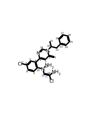 C=C1C=C(c2cc(Cl)ccc2N(N)/C=C(\N)Cl)N=CN1C(C)Cc1ccccc1